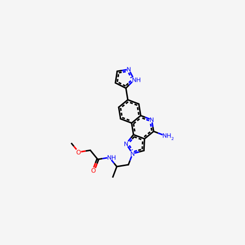 COCC(=O)NC(C)Cn1cc2c(N)nc3cc(-c4ccn[nH]4)ccc3c2n1